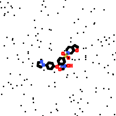 O=CNO.O=S(=O)(c1ccc(Oc2ccc(-n3cccn3)cc2)cc1)N1CCc2ccoc2C1